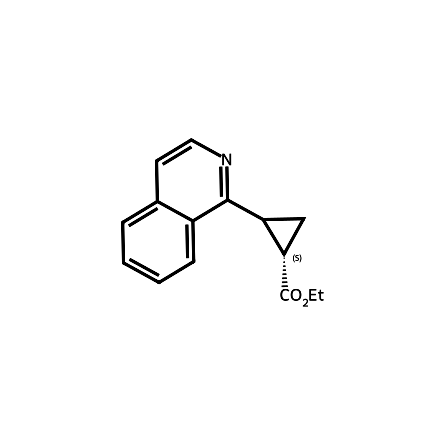 CCOC(=O)[C@H]1CC1c1nccc2ccccc12